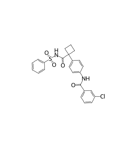 O=C(Nc1ccc(C2(C(=O)NS(=O)(=O)c3ccccc3)CCC2)cc1)c1cccc(Cl)c1